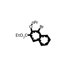 CCCOc1c(C(=O)OCC)cc2ccccc2c1Br